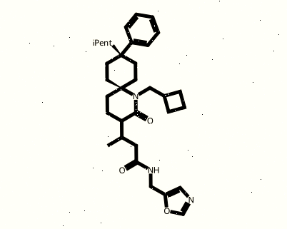 CCCC(C)[C@]1(c2ccccc2)CC[C@@]2(CCC(C(C)CC(=O)NCc3cnco3)C(=O)N2CC2CCC2)CC1